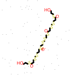 O=C(CCSCSCCC[S+]([O-])CCSCSCCSC(=O)CCSCSCCC(=O)SCCCO)SCCCO